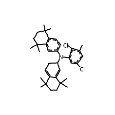 Cc1cc(Cl)cc(N(c2ccc3c(c2)C(C)(C)CCC3(C)C)C2C=C3C(=CC2)C(C)(C)CCC3(C)C)c1Cl